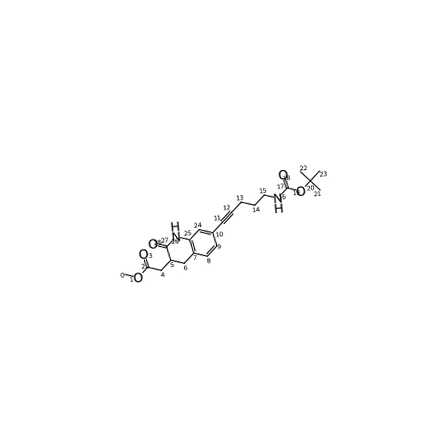 COC(=O)CC1Cc2ccc(C#CCCCNC(=O)OC(C)(C)C)cc2NC1=O